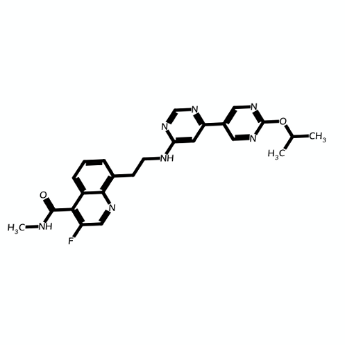 CNC(=O)c1c(F)cnc2c(CCNc3cc(-c4cnc(OC(C)C)nc4)ncn3)cccc12